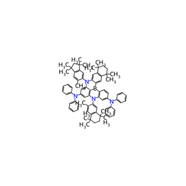 Cc1cc2c(cc1N1c3cc(N(c4ccccc4)c4ccccc4)ccc3B3c4cc5c(cc4N(c4cc6c(cc4C)C(C)(C)CC6(C)C)c4cc(N(c6ccccc6)c6ccccc6)cc1c43)C(C)(C)CCC5(C)C)C(C)(C)CCC2(C)C